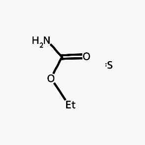 CCOC(N)=O.[S]